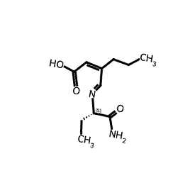 CCCC(C=N[C@@H](CC)C(N)=O)=CC(=O)O